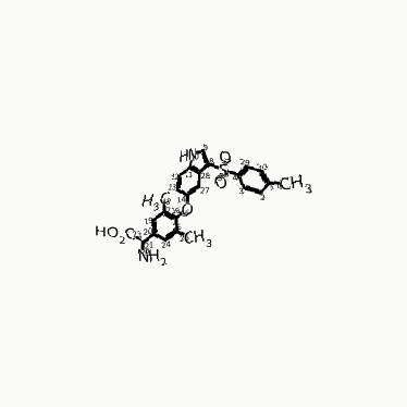 Cc1ccc(S(=O)(=O)c2c[nH]c3ccc(Oc4c(C)cc([C@@H](N)C(=O)O)cc4C)cc23)cc1